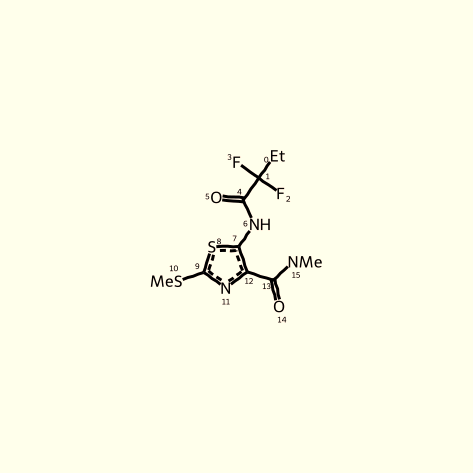 CCC(F)(F)C(=O)Nc1sc(SC)nc1C(=O)NC